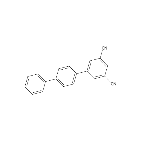 N#Cc1cc(C#N)cc(-c2ccc(-c3ccccc3)cc2)c1